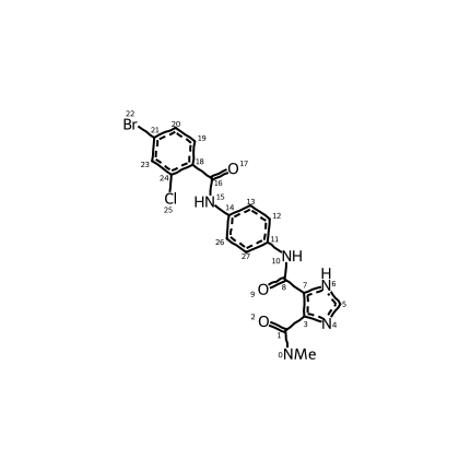 CNC(=O)c1nc[nH]c1C(=O)Nc1ccc(NC(=O)c2ccc(Br)cc2Cl)cc1